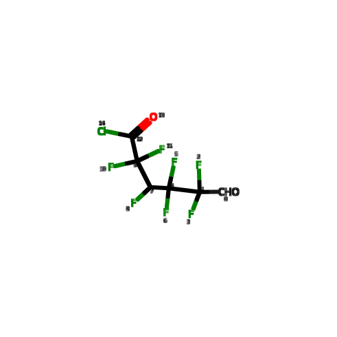 O=CC(F)(F)C(F)(F)C(F)C(F)(F)C(=O)Cl